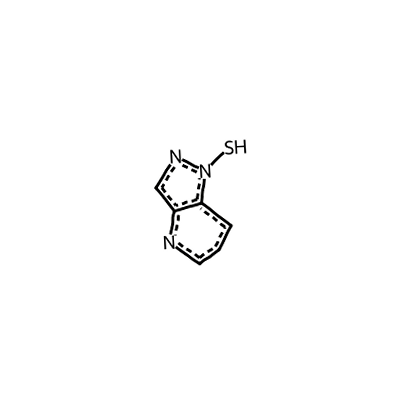 Sn1ncc2ncccc21